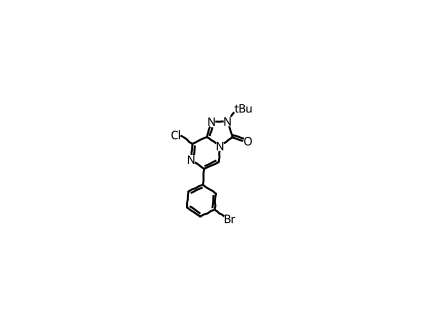 CC(C)(C)n1nc2c(Cl)nc(-c3cccc(Br)c3)cn2c1=O